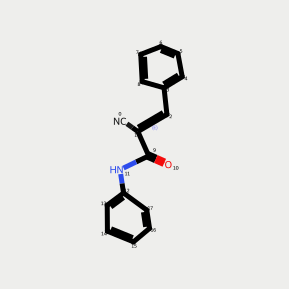 N#C/C(=C\c1ccccc1)C(=O)Nc1ccccc1